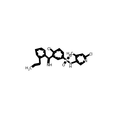 C=C=Cc1ccccc1C(=N)c1cc(S(=O)(=O)Nc2cnc(Cl)cc2C)ccc1Cl